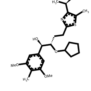 COc1cc([C@@H](O)[C@H](CCc2nc([C@@H](C)C(=O)O)c(C)s2)OC2CCCC2)cc(OC)c1C